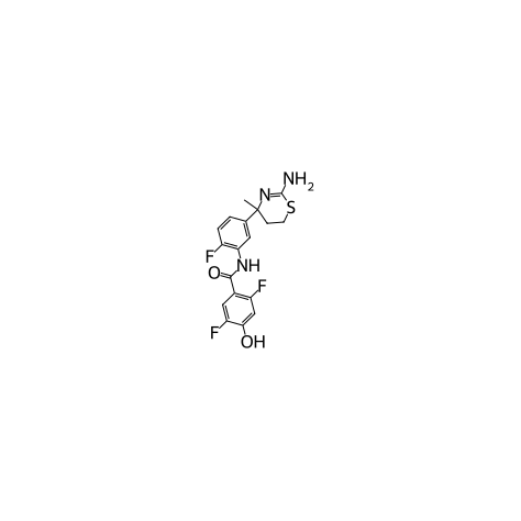 CC1(c2ccc(F)c(NC(=O)c3cc(F)c(O)cc3F)c2)CCSC(N)=N1